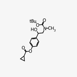 CN(CC(O)c1ccc(OC(=O)C2CC2)cc1)C(=O)OC(C)(C)C